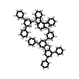 c1ccc(-c2cc(-c3ccccc3)c3c(c2)-c2cc(-c4ccccc4)cc(-c4cccc(-n5c6ccccc6c6c7c8ccccc8n(-c8nc(-c9ccccc9)cc(-c9ccccc9)n8)c7ccc65)c4)c2C3)cc1